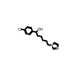 OC(CCCCCn1ccnc1)c1ccc(Cl)cc1